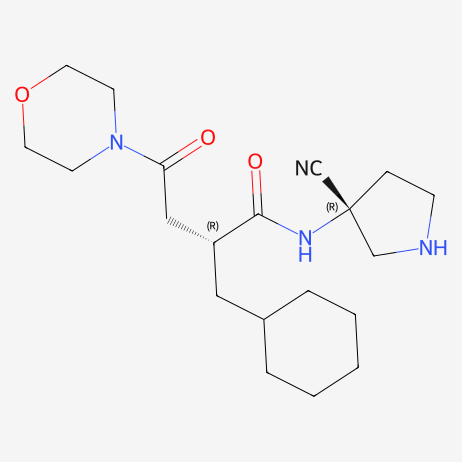 N#C[C@@]1(NC(=O)[C@@H](CC(=O)N2CCOCC2)CC2CCCCC2)CCNC1